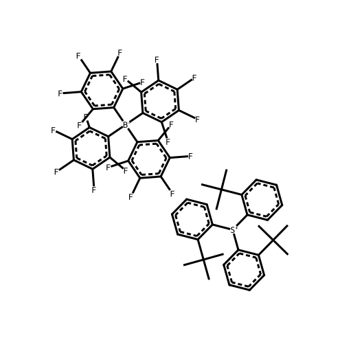 CC(C)(C)c1ccccc1[S+](c1ccccc1C(C)(C)C)c1ccccc1C(C)(C)C.Fc1c(F)c(F)c([B-](c2c(F)c(F)c(F)c(F)c2F)(c2c(F)c(F)c(F)c(F)c2F)c2c(F)c(F)c(F)c(F)c2F)c(F)c1F